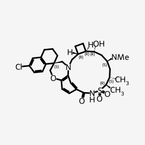 CN[C@@H]1C[C@@H](O)[C@@H]2CC[C@H]2CN2C[C@@]3(CCCc4cc(Cl)ccc43)COc3ccc(cc32)C(=O)NS(=O)(=O)[C@H](C)[C@@H](C)C1